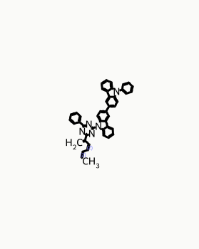 C=C(/C=C\C=C/C)c1nc(-c2ccccc2)nc(-n2c3ccccc3c3cc(-c4ccc5c(c4)c4ccccc4n5-c4ccccc4)ccc32)n1